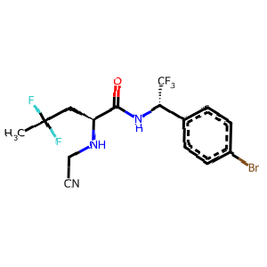 CC(F)(F)C[C@H](NCC#N)C(=O)N[C@@H](c1ccc(Br)cc1)C(F)(F)F